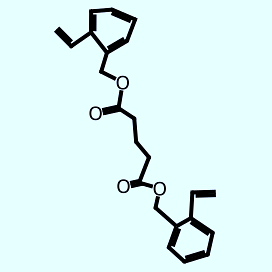 C=Cc1ccccc1COC(=O)CCCC(=O)OCc1ccccc1C=C